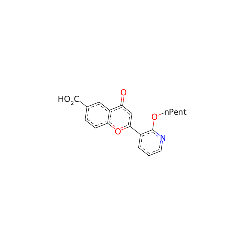 CCCCCOc1ncccc1-c1cc(=O)c2cc(C(=O)O)ccc2o1